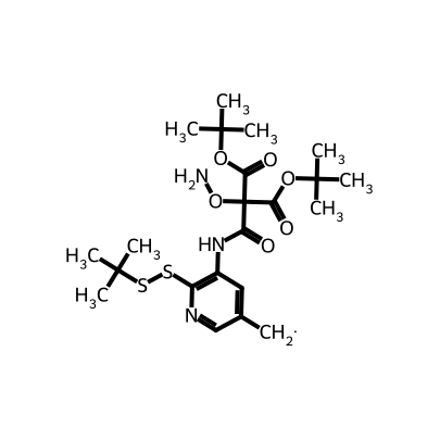 [CH2]c1cnc(SSC(C)(C)C)c(NC(=O)C(ON)(C(=O)OC(C)(C)C)C(=O)OC(C)(C)C)c1